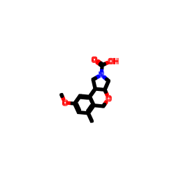 COc1cc(C)c2c(c1)C1CN(C(=O)O)CC1OC2